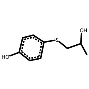 CC(O)CSc1ccc(O)cc1